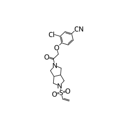 C=CS(=O)(=O)N1CC2CN(C(=O)COc3ccc(C#N)cc3Cl)CC2C1